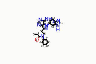 C=CC(=O)N(CCc1nn(-c2ccc3nc[nH]c3c2)c2c(N)ncnc12)c1ccccc1